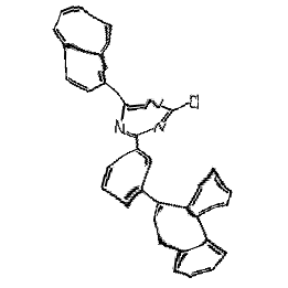 Clc1nc(-c2cccc(-c3cc4ccccc4c4ccccc34)c2)nc(-c2ccc3ccccc3c2)n1